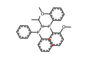 COc1ccccc1P(c1ccccc1OC)N(C(C)C)P(c1ccccc1)c1ccccc1